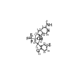 CNc1cc2cc(CC(O)(CC(C)(C)c3cc(F)ccc3OC)C(F)(F)F)[nH]c2cn1